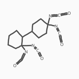 O=C=NC1(N=C=O)CCC(C2CCCCC2(N=C=O)N=C=O)CC1